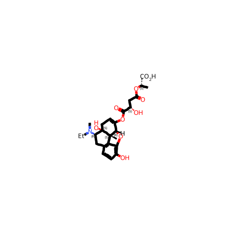 CCN(C)[C@@H]1Cc2ccc(O)c3c2[C@@]2(C)[C@@H](O3)C(OC(=O)[C@@H](O)CC(=O)O[C@@H](C)C(=O)O)=CC[C@@]12O